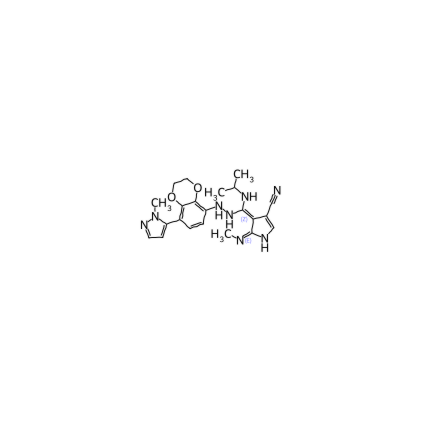 C/N=C1/NC=C(C#N)/C1=C(/NNc1ccc(-c2ccnn2C)c2c1OCCO2)NC(C)C